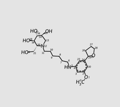 COc1cc(NCCCCCCN2C[C@H](O)[C@@H](O)[C@H](O)[C@H]2CO)cc(C2CCCO2)c1